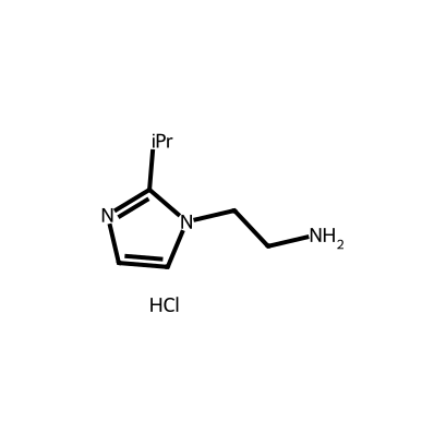 CC(C)c1nccn1CCN.Cl